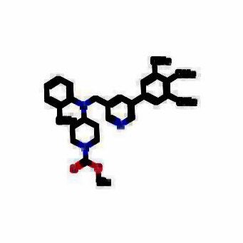 COc1ccccc1N(Cc1cncc(-c2cc(OC)c(OC)c(OC)c2)c1)C1CCN(C(=O)OC(C)(C)C)CC1